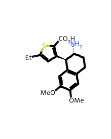 CCc1cc([C@@H]2c3cc(OC)c(OC)cc3CC[C@H]2N)c(C(=O)O)s1